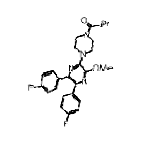 COc1nc(-c2ccc(F)cc2)c(-c2ccc(F)cc2)nc1N1CCN(C(=O)C(C)C)CC1